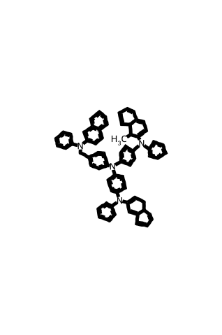 CC1C(N(c2ccccc2)c2ccc(N(c3ccc(CN(c4ccccc4)c4ccc5ccccc5c4)cc3)c3ccc(N(C4=CCC5C=CC=CC5=C4)c4ccccc4)cc3)cc2)=CC=C2C=CC=CC21